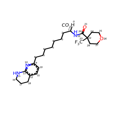 O=C(O)C(CCCCCCCc1ccc2c(n1)NCCC2)NC(=O)C1(C(F)(F)F)CCOCC1